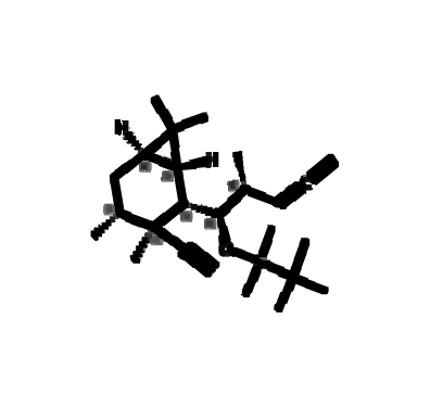 C#C[C@]1(C)[C@@H]([C@H](O[Si](C)(C)C(C)(C)C)[C@H](C)C=C=C)[C@@H]2[C@@H](C[C@H]1C)C2(C)C